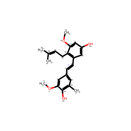 COc1cc(/C=C/c2cc(O)cc(OC)c2CC=C(C)C)cc(C)c1O